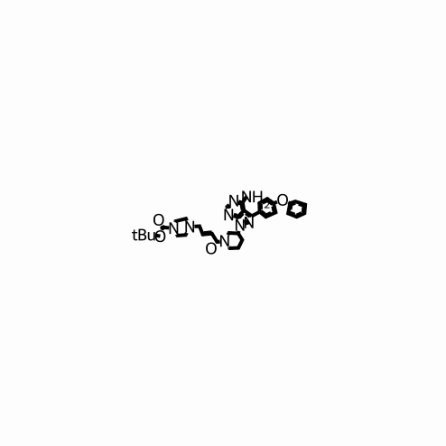 CC(C)(C)OC(=O)N1CCN(CC=CC(=O)N2CCCC(n3nc(-c4ccc(Oc5ccccc5)cc4)c4c(N)ncnc43)C2)CC1